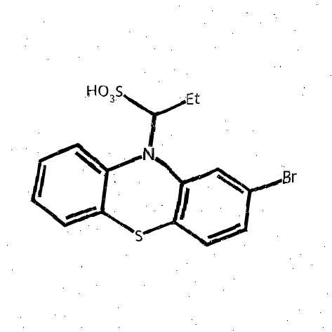 CCC(N1c2ccccc2Sc2ccc(Br)cc21)S(=O)(=O)O